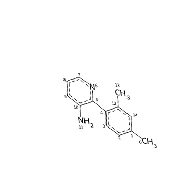 Cc1ccc(-c2ncccc2N)c(C)c1